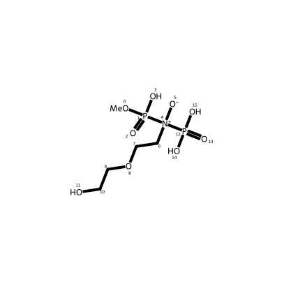 COP(=O)(O)[N+]([O-])(CCOCCO)P(=O)(O)O